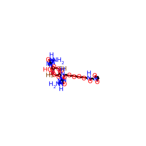 Nc1nc2c(ncn2C2OC3COP(=O)(S)OC4C(COP(=O)(S)OC3C2O)OC(n2cnc3c(=O)[nH]c(N)nc32)C4NC(=O)CCOCCOCCOCCOCCNC(=O)CCN2C(=O)C=CC2=O)c(=O)[nH]1